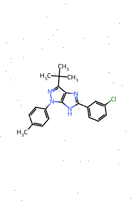 Cc1ccc(-n2nc(C(C)(C)C)c3nc(-c4cccc(Cl)c4)[nH]c32)cc1